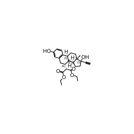 C#C[C@]1(O)CC[C@H]2[C@H]3[C@H](CC[C@@]21C)c1ccc(O)cc1C[C@H]3C(C(=O)OCC)C(=O)OCC